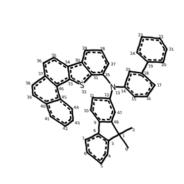 CC1(C)c2ccccc2-c2ccc(N(c3cccc(-c4ccccc4)c3)c3cccc4c3sc3c4ccc4ccc5ccccc5c43)cc21